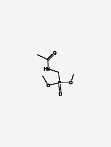 COP(=O)(CNC(C)=O)OC